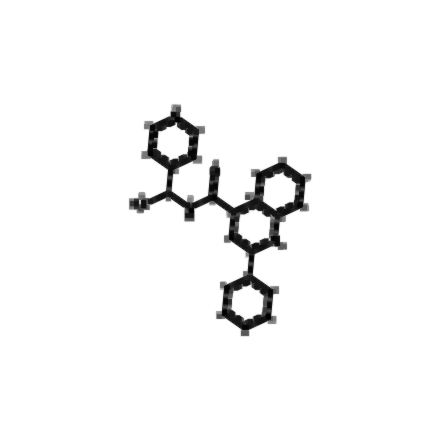 CC(NC(=O)c1cc(-c2ccccc2)nc2ccccc12)c1ccncc1